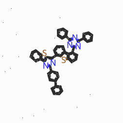 c1ccc(-c2ccc(-c3nc(-c4cccc5c4sc4cccc(-c6nc(-c7ccccc7)nc(-c7ccccc7)n6)c45)c4sc5ccccc5c4n3)cc2)cc1